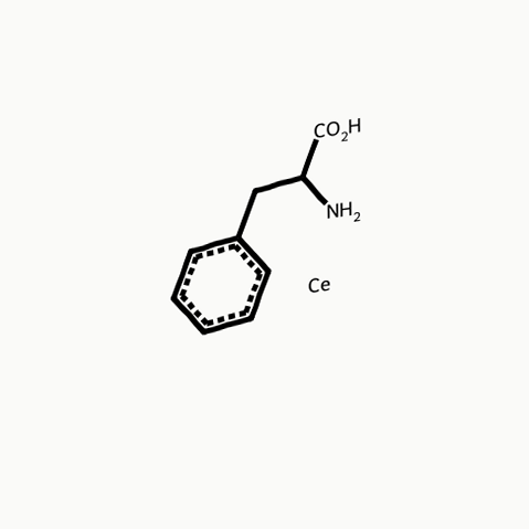 NC(Cc1ccccc1)C(=O)O.[Ce]